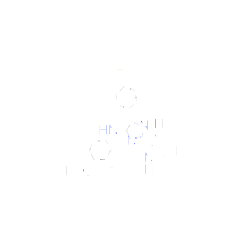 Cc1ccc(Nc2c(-c3ccc(F)cc3)nc3n2CCNC3(C)C)cc1Cl